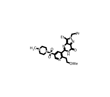 CCc1c2nc(-c3cc(S(=O)(=O)N4CCN(C)CC4)cnc3CCOC)[nH]c(=O)c2nn1CC(C)C